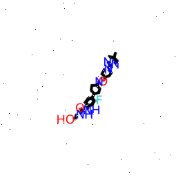 Cc1cnc(N2CCC(ON=C3CCC(c4ccc(NC(=O)NCCO)cc4F)CC3)CC2)nc1